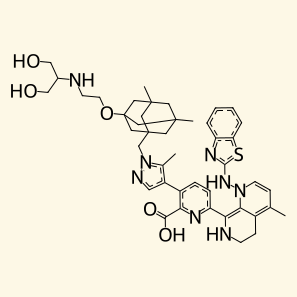 CC1=C2CCNC(c3ccc(-c4cnn(CC56CC7(C)CC(C)(C5)CC(OCCNC(CO)CO)(C7)C6)c4C)c(C(=O)O)n3)=C2N(Nc2nc3ccccc3s2)C=C1